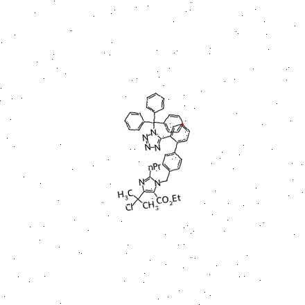 CCCc1nc(C(C)(C)Cl)c(C(=O)OCC)n1Cc1ccc(-c2ccccc2-c2nnnn2C(c2ccccc2)(c2ccccc2)c2ccccc2)cc1